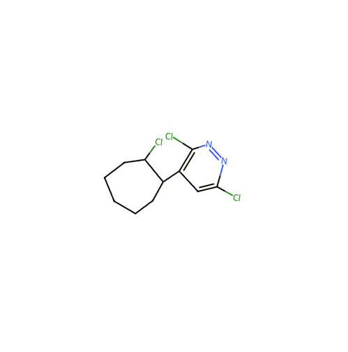 Clc1cc(C2CCCCCC2Cl)c(Cl)nn1